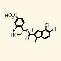 CC1C(C(=O)N[C@H](CO)c2ccc(C(=O)O)cc2F)=Cc2c1ccc(Cl)c2Cl